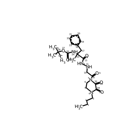 CCCCN1CCN(C(=O)CNNC(=O)C(C)(Cc2ccccc2)NC(=O)OC(C)(C)C)C(=O)C1=O